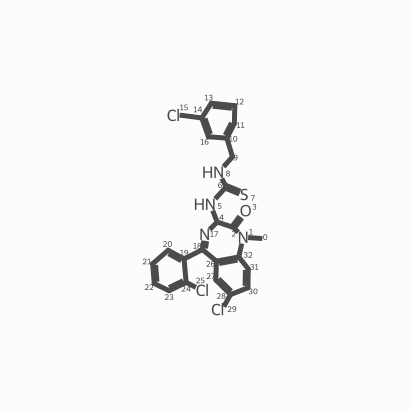 CN1C(=O)C(NC(=S)NCc2cccc(Cl)c2)N=C(c2ccccc2Cl)c2cc(Cl)ccc21